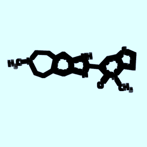 CN1CCc2cc3nc(-c4cc5sccc5n(C)c4=O)[nH]c3cc2CC1